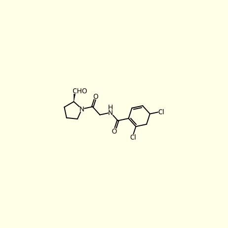 O=C[C@@H]1CCCN1C(=O)CNC(=O)C1=C(Cl)CC(Cl)C=C1